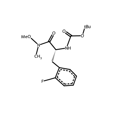 CON(C)C(=O)[C@@H](Cc1ccccc1F)NC(=O)OC(C)(C)C